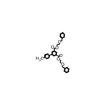 Cc1ccc(-c2cc(C(=O)OCCOCc3ccccc3)cc(C(=O)OCCOCc3ccccc3)c2)cc1